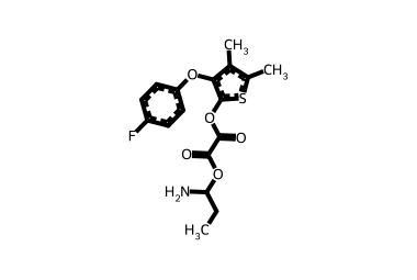 CCC(N)OC(=O)C(=O)Oc1sc(C)c(C)c1Oc1ccc(F)cc1